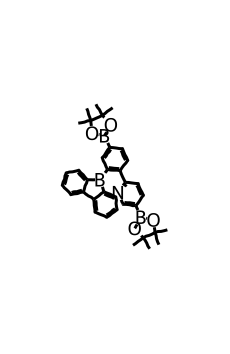 CC1(C)OB(c2ccc(-c3ccc(B4OC(C)(C)C(C)(C)O4)cc3B3c4ccccc4-c4ccccc43)nc2)OC1(C)C